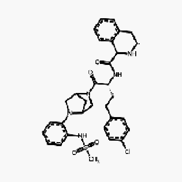 CS(=O)(=O)Nc1ccccc1N1CC2CC1CN2C(=O)[C@@H](CCc1ccc(Cl)cc1)NC(=O)C1N[CH]Cc2ccccc21